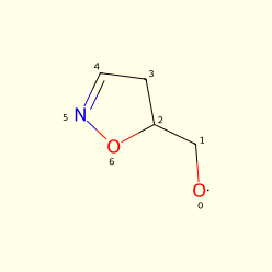 [O]CC1CC=NO1